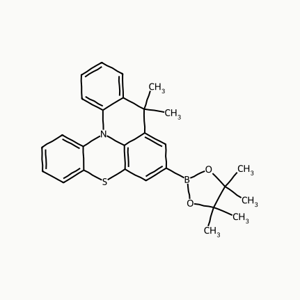 CC1(C)c2ccccc2N2c3ccccc3Sc3cc(B4OC(C)(C)C(C)(C)O4)cc1c32